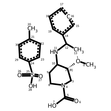 CO[C@@H]1CN(C(=O)O)CCC1NC(C)c1ccccc1.Cc1ccc(S(=O)(=O)O)cc1